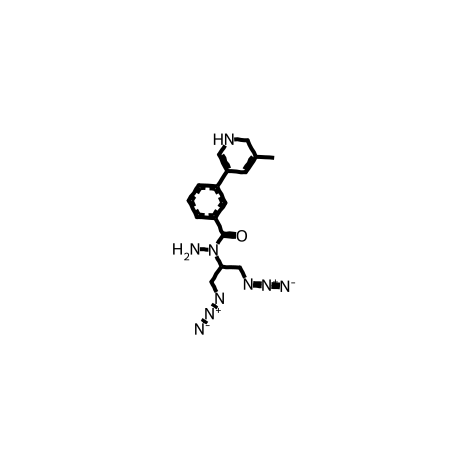 CC1=CC(c2cccc(C(=O)N(N)C(CN=[N+]=[N-])CN=[N+]=[N-])c2)=CNC1